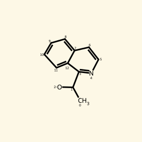 CC([O])c1nccc2ccccc12